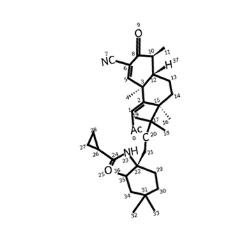 CC(=O)/C=C1/[C@@]2(C)C=C(C#N)C(=O)[C@@H](C)[C@@H]2CC[C@@]1(C)C(C)(C)CC[C@@]1(NC(=O)C2CC2)CCC(C)(C)CC1C